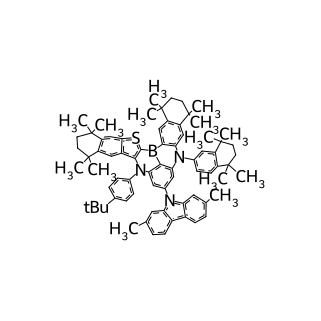 Cc1ccc2c3ccc(C)cc3n(-c3cc4c5c(c3)N(c3ccc(C(C)(C)C)cc3)c3c(sc6cc7c(cc36)C(C)(C)CCC7(C)C)B5c3cc5c(cc3N4c3ccc4c(c3)C(C)(C)CCC4(C)C)C(C)(C)CCC5(C)C)c2c1